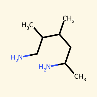 CC(N)CC(C)C(C)CN